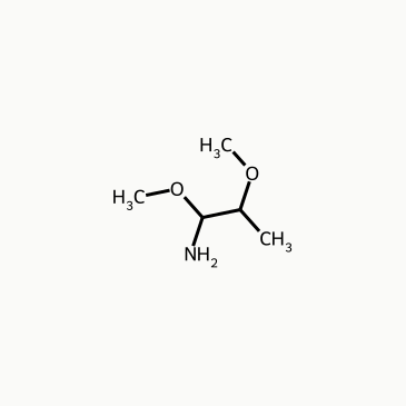 COC(C)C(N)OC